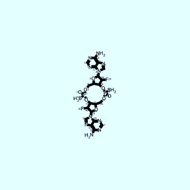 BP1(=O)OCC2OC(n3cnc4c(N)ncnc43)C(F)C2OP(B)(=O)OCC2OC(n3cnc4c(N)ncnc43)C(F)C2O1